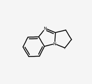 [CH]1CCc2nc3ccccc3n21